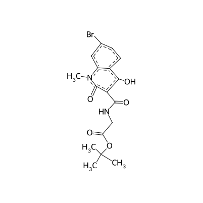 Cn1c(=O)c(C(=O)NCC(=O)OC(C)(C)C)c(O)c2ccc(Br)cc21